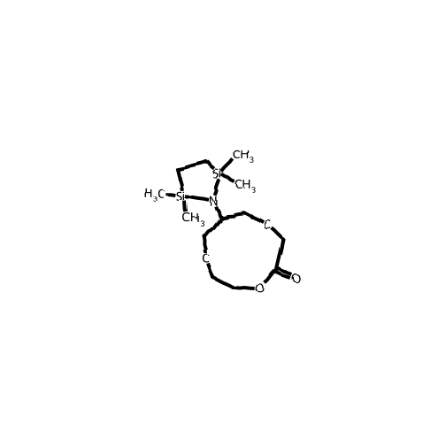 C[Si]1(C)CC[Si](C)(C)N1C1CCCCOC(=O)CCC1